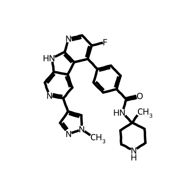 Cn1cc(-c2cc3c(cn2)[nH]c2ncc(F)c(-c4ccc(C(=O)NC5(C)CCNCC5)cc4)c23)cn1